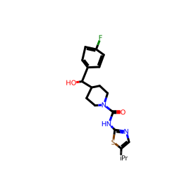 CC(C)c1cnc(NC(=O)N2CCC(C(O)c3ccc(F)cc3)CC2)s1